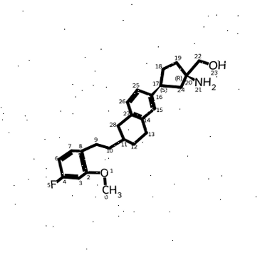 COc1cc(F)ccc1CCC1CCc2cc([C@H]3CC[C@](N)(CO)C3)ccc2C1